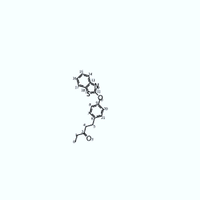 CCC(=O)CCc1ccc(Oc2nc3ccccc3s2)cc1